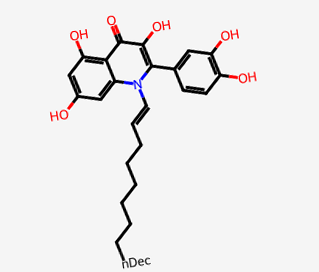 CCCCCCCCCCCCCCCCC=Cn1c(-c2ccc(O)c(O)c2)c(O)c(=O)c2c(O)cc(O)cc21